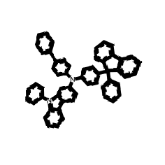 c1ccc(-c2ccc(N(c3ccc(C4(c5ccccc5)c5ccccc5-c5ccccc54)cc3)c3ccc4c5ccccc5n(-c5ccccc5)c4c3)cc2)cc1